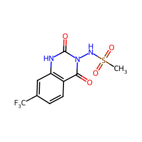 CS(=O)(=O)Nn1c(=O)[nH]c2cc(C(F)(F)F)ccc2c1=O